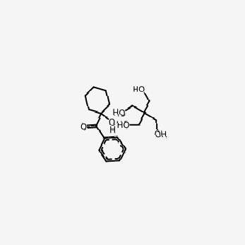 O=C(c1ccccc1)C1(O)CCCCC1.OCC(CO)(CO)CO